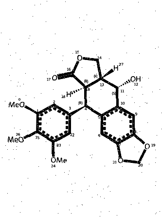 COc1cc([C@@H]2c3cc4c(cc3[C@@H](O)[C@H]3COC(=O)[C@H]23)OCO4)cc(OC)c1OC